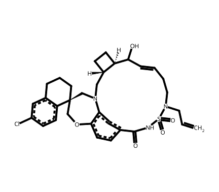 C=CCN1CC/C=C/C(O)[C@@H]2CC[C@H]2CN2C[C@@]3(CCCc4cc(Cl)ccc43)COc3ccc(cc32)C(=O)NS1(=O)=O